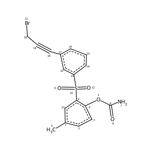 Cc1ccc(OC(N)=O)c(S(=O)(=O)c2cccc(C#CCBr)c2)c1